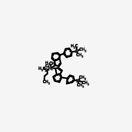 CCC[Si](C)=[Hf]([CH3])([CH3])([CH]1C=Cc2c(-c3ccc([Si](C)(C)C)cc3)cccc21)[CH]1C=Cc2c(-c3ccc([Si](C)(C)C)cc3)cccc21